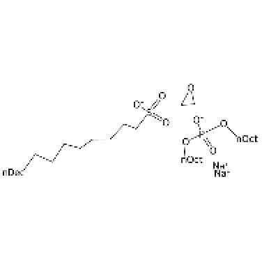 C1CO1.CCCCCCCCCCCCCCCCCCS(=O)(=O)[O-].CCCCCCCCOP(=O)([O-])OCCCCCCCC.[Na+].[Na+]